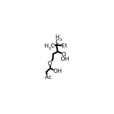 CCC(C)(C)C(CCOC(O)CC(C)=O)OO